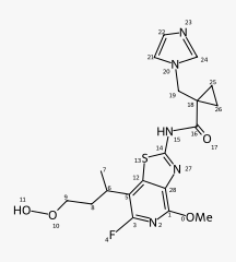 COc1nc(F)c(C(C)CCOO)c2sc(NC(=O)C3(Cn4ccnc4)CC3)nc12